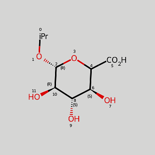 CC(C)O[C@@H]1OC(C(=O)O)[C@@H](O)[C@H](O)[C@H]1O